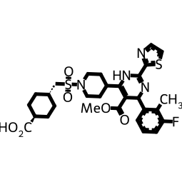 COC(=O)C1=C(C2CCN(S(=O)(=O)C[C@H]3CC[C@H](C(=O)O)CC3)CC2)NC(c2nccs2)=NC1c1cccc(F)c1C